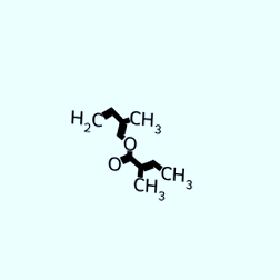 C=CC(C)=COC(=O)C(C)=CC